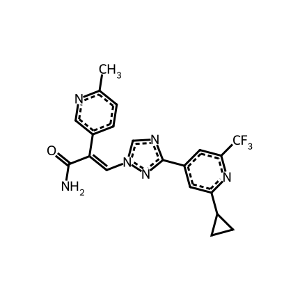 Cc1ccc(/C(=C\n2cnc(-c3cc(C4CC4)nc(C(F)(F)F)c3)n2)C(N)=O)cn1